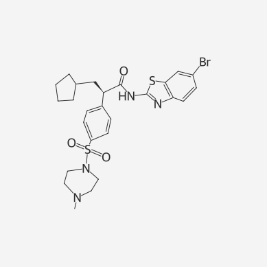 CN1CCN(S(=O)(=O)c2ccc([C@@H](CC3CCCC3)C(=O)Nc3nc4ccc(Br)cc4s3)cc2)CC1